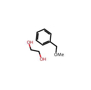 COCc1ccccc1.OCCO